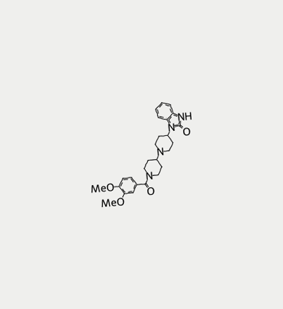 COc1ccc(C(=O)N2CCC(N3CCC(n4c(=O)[nH]c5ccccc54)CC3)CC2)cc1OC